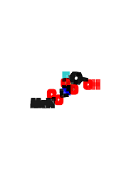 CNC(=O)OC1CN(S(=O)(=O)c2cc(CO)ccc2F)C1